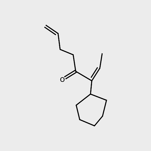 C=CCCC(=O)C(=CC)C1CCCCC1